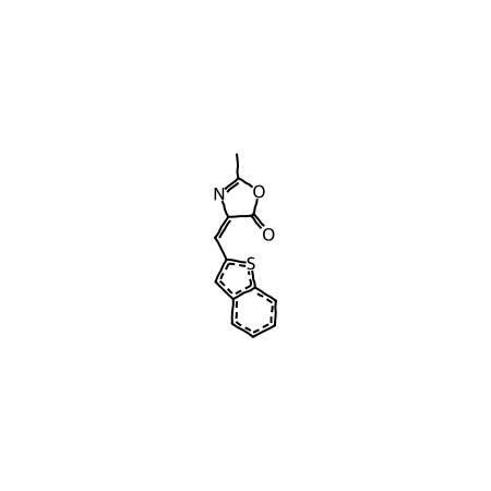 CC1=NC(=Cc2cc3ccccc3s2)C(=O)O1